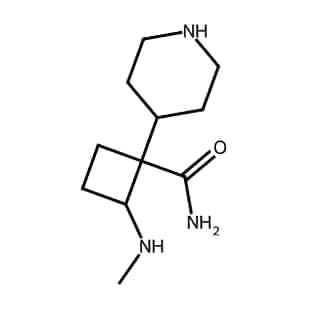 CNC1CCC1(C(N)=O)C1CCNCC1